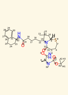 C[C@@H](C(=O)N[C@H]1CCS[C@H]2CC(C)(C)C(CCCCC(=O)N[C@@H]3CCCc4ccccc43)N2C1=O)N(C)C(=O)OC(C)(C)C